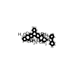 CC1(C)c2ccccc2C(C)(C)c2cc3c(cc21)c1ccccc1c1cc2c(cc31)C(C)(C)C1C=CC(n3c4ccccc4c4ccccc43)=CC1C2(C)C